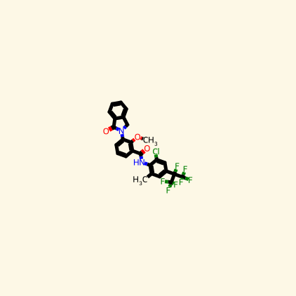 COc1c(C(=O)Nc2c(C)cc(C(F)(C(F)(F)F)C(F)(F)F)cc2Cl)cccc1N1Cc2ccccc2C1=O